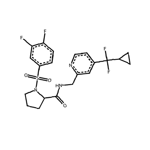 O=C(NCc1cc(C(F)(F)C2CC2)ccn1)C1CCCN1S(=O)(=O)c1ccc(F)c(F)c1